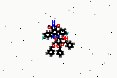 O=C1NC(=O)c2c1c1c3ccc(F)cc3[nH]c1c1c2c2ccc(F)cc2n1[C@@H]1O[C@H](COCc2ccccc2)[C@@H](OCc2ccccc2)[C@H](OCc2ccccc2)[C@H]1O